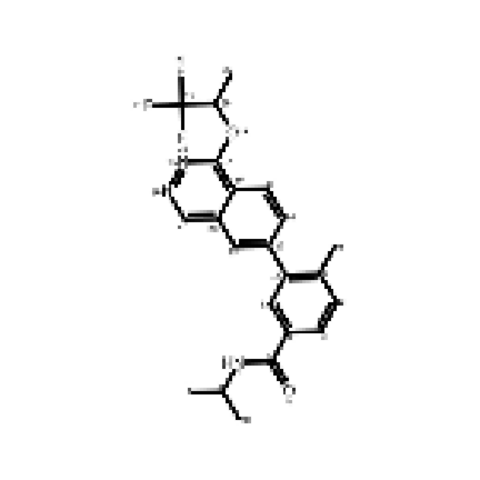 Cc1ccc(C(=O)NC(C)C)cc1-c1ccc2c(OC(C)C(F)(F)F)nncc2c1